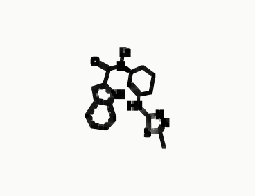 CCN(C(=O)c1cc2ccccc2[nH]1)[C@@H]1C=C(Nc2nnc(C)s2)CCC1